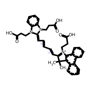 CC1(C)C(/C=C/C=C/C=C2N(CCC(=O)O)c3ccccc3N2CCC(=O)O)=[N+](CCC(=O)O)c2c1c1ccc#cc1c1ccccc21